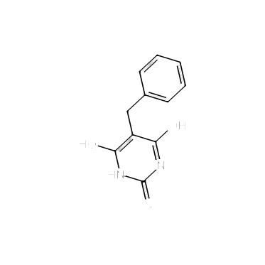 Oc1nc(=S)[nH]c(O)c1Cc1ccccc1